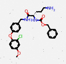 COc1ccc(Oc2ccc(CNC(=O)[C@H](CCCN)NC(=O)OCc3ccccc3)cc2)c(Cl)c1